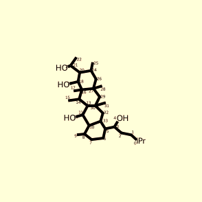 CC(C)CCC(O)C1CCC(C)C2C(O)C3C(C)C4(C)C(O)C(C(C)O)C(C)CC4(C)CC3(C)CC12